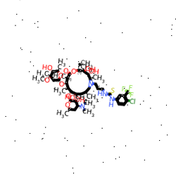 CC[C@H]1OC(=O)[C@H](C)[C@@H](O[C@H]2C[C@@](C)(OC)[C@@H](O)[C@H](C)O2)[C@H](C)[C@@H](O[C@@H]2O[C@H](C)C[C@H](N(C)C)[C@H]2O)[C@](C)(O)C[C@@H](C)CN(CCCNC(=S)Nc2ccc(Cl)c(C(F)(F)F)c2)[C@H](C)[C@@H](O)[C@]1(C)O